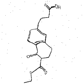 CCOC(=O)C1CCc2cc(CCC(=O)O)ccc2C1=O